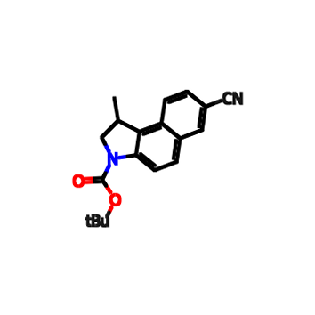 CC1CN(C(=O)OC(C)(C)C)c2ccc3cc(C#N)ccc3c21